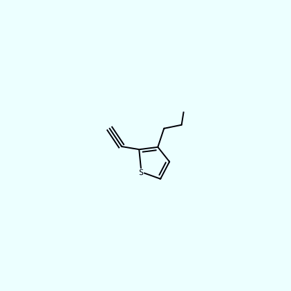 C#Cc1sccc1CCC